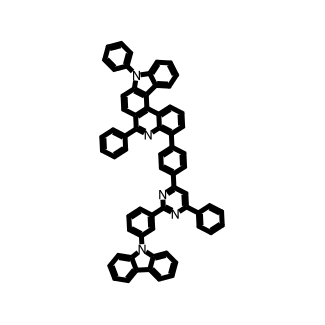 c1ccc(-c2cc(-c3ccc(-c4cccc5c4nc(-c4ccccc4)c4ccc6c(c7ccccc7n6-c6ccccc6)c45)cc3)nc(-c3cccc(-n4c5ccccc5c5ccccc54)c3)n2)cc1